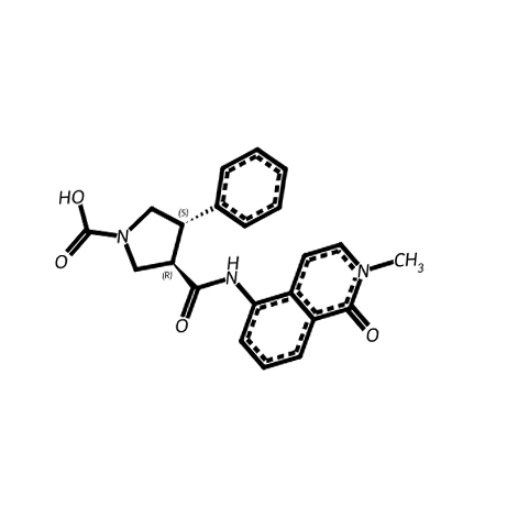 Cn1ccc2c(NC(=O)[C@H]3CN(C(=O)O)C[C@@H]3c3ccccc3)cccc2c1=O